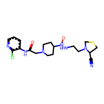 N#CC1CSCN1CCN[NH+]([O-])C1CCN(CC(=O)Nc2cccnc2Cl)CC1